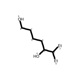 CCC(CC)C(O)CCCCO